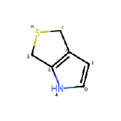 c1cc2c([nH]1)CSC2